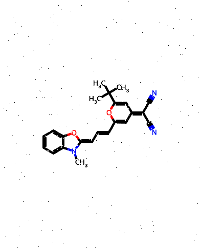 CN1/C(=C/C=C/C2=CC(=C(C#N)C#N)C=C(C(C)(C)C)O2)Oc2ccccc21